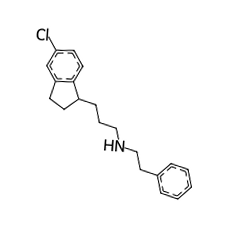 Clc1ccc2c(c1)CCC2CCCNCCc1ccccc1